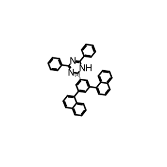 c1ccc(C2=N[C@@H](c3cc(-c4cccc5ccccc45)cc(-c4cccc5ccccc45)c3)NC(c3ccccc3)=N2)cc1